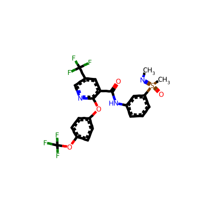 CN=S(C)(=O)c1cccc(NC(=O)c2cc(C(F)(F)F)cnc2Oc2ccc(OC(F)(F)F)cc2)c1